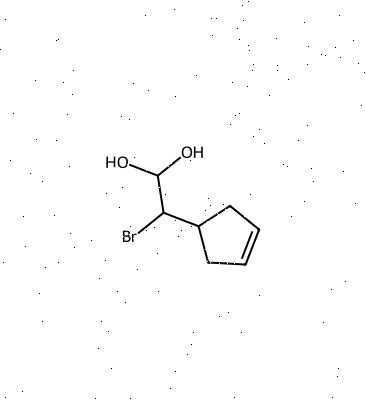 OC(O)C(Br)C1CC=CC1